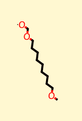 COCCCCCCCCCOC[O]